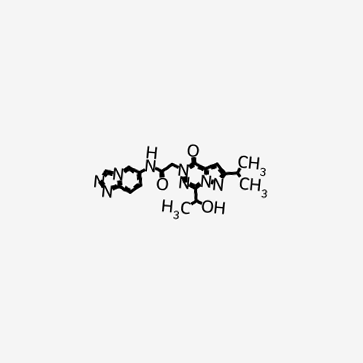 CC(C)c1cc2c(=O)n(CC(=O)Nc3ccc4nncn4c3)nc(C(C)O)n2n1